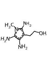 Cn1c(N)c(N)c(CCO)c1N